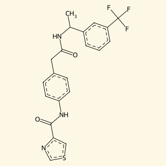 CC(NC(=O)Cc1ccc(NC(=O)c2cscn2)cc1)c1cccc(C(F)(F)F)c1